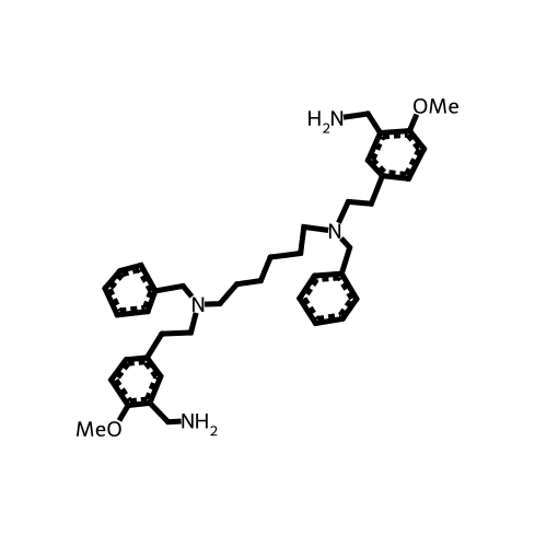 COc1ccc(CCN(CCCCCCN(CCc2ccc(OC)c(CN)c2)Cc2ccccc2)Cc2ccccc2)cc1CN